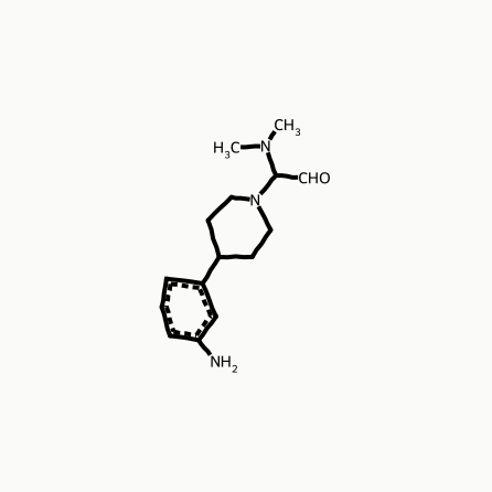 CN(C)C(C=O)N1CCC(c2cccc(N)c2)CC1